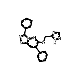 c1ccc(-c2cc3nnc(-c4ccccc4)n3nc2OCc2ncn[nH]2)cc1